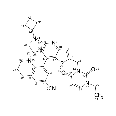 N#Cc1cc2c(c(-c3ccnc4cc(Cn5c(=O)ccn(CC(F)(F)F)c5=O)sc34)c1)N([C@H]1CCN(C3CCC3)C1)CCC2